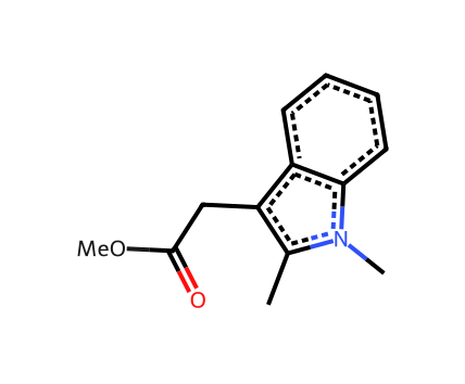 COC(=O)Cc1c(C)n(C)c2ccccc12